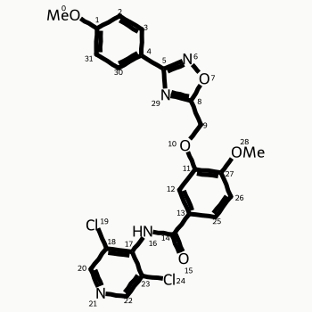 COc1ccc(-c2noc(COc3cc(C(=O)Nc4c(Cl)cncc4Cl)ccc3OC)n2)cc1